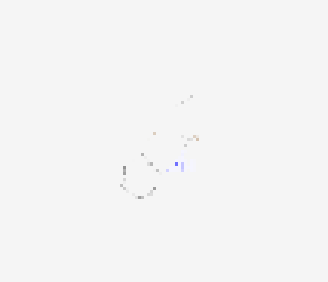 CCCC1Sc2ccccc2NC1=S